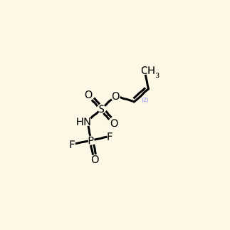 C/C=C\OS(=O)(=O)NP(=O)(F)F